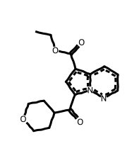 CCOC(=O)c1cc(C(=O)C2CCOCC2)n2ncccc12